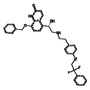 O=c1ccc2c([C@H](O)CNCCc3ccc(OCC(F)(F)c4ccccc4)cc3)ccc(OCc3ccccc3)c2[nH]1